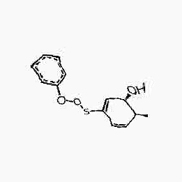 C[C@H]1C=CC(SOOc2ccccc2)=C[C@H]1O